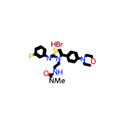 Br.CNC(=O)NCCn1c(-c2ccc(N3CCOCC3)cc2)csc1=Nc1cccc(F)c1